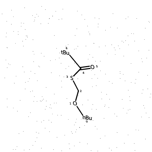 CCCCOCSC(=O)C(C)(C)C